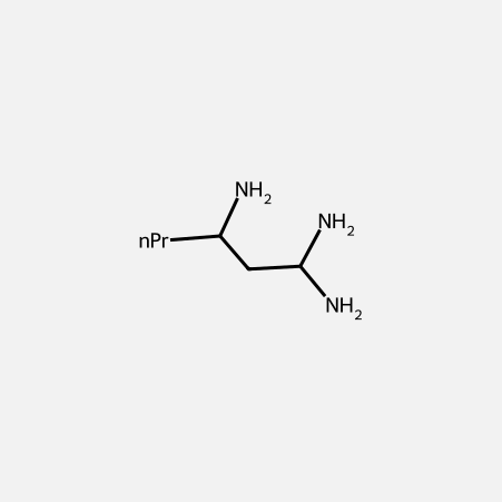 CCCC(N)CC(N)N